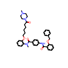 CN1CCN(C(=O)CCCCCOc2ccccc2N(C)C(=O)c2ccc(NC(=O)c3ccccc3OCc3ccccc3)cc2)CC1